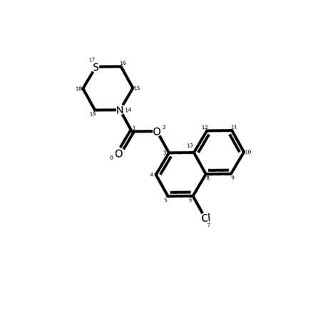 O=C(Oc1ccc(Cl)c2ccccc12)N1CCSCC1